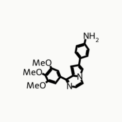 COc1cc(-c2nccn3cc(-c4ccc(N)cc4)cc23)cc(OC)c1OC